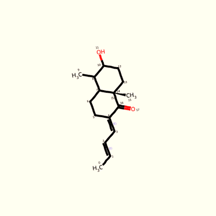 C/C=C/C=C1\CCC2C(C)C(O)CC[C@]2(C)C1=O